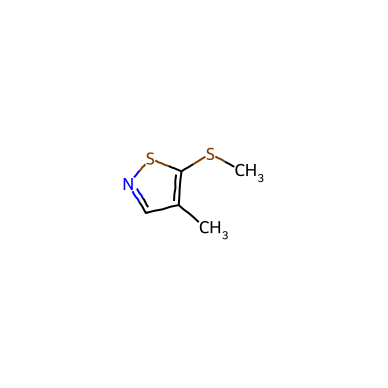 CSc1sncc1C